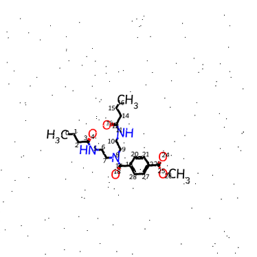 CCCC(=O)NCCN(CCNC(=O)CCC)C(=O)c1ccc(C(=O)OC)cc1